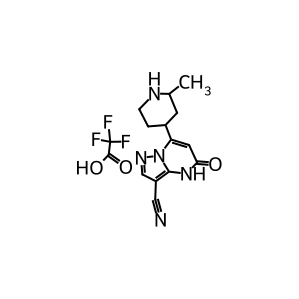 CC1CC(c2cc(=O)[nH]c3c(C#N)cnn23)CCN1.O=C(O)C(F)(F)F